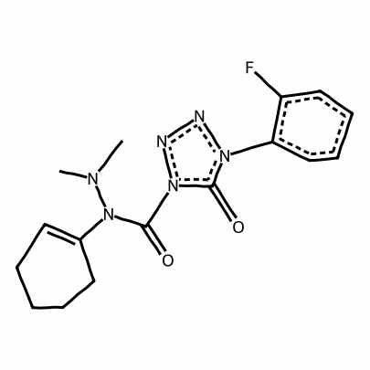 CN(C)N(C(=O)n1nnn(-c2ccccc2F)c1=O)C1=CCCCC1